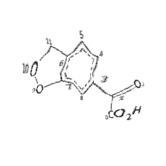 O=C(O)C(=O)c1ccc2c(c1)OOC2